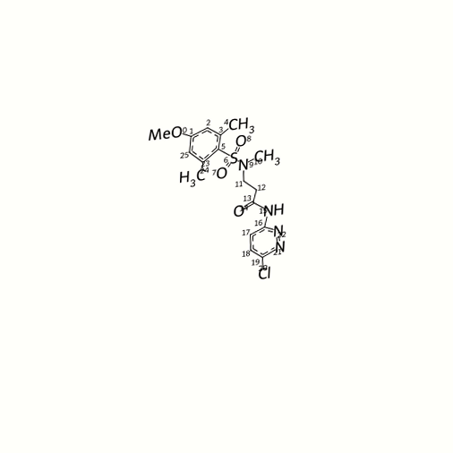 COc1cc(C)c(S(=O)(=O)N(C)CCC(=O)Nc2ccc(Cl)nn2)c(C)c1